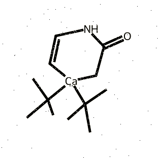 C[C](C)(C)[Ca]1([C](C)(C)C)[CH]=CNC(=O)[CH2]1